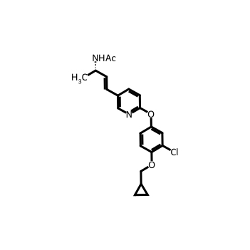 CC(=O)N[C@@H](C)/C=C/c1ccc(Oc2ccc(OCC3CC3)c(Cl)c2)nc1